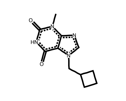 Cn1c(=O)[nH]c(=O)c2c1ncn2CC1CCC1